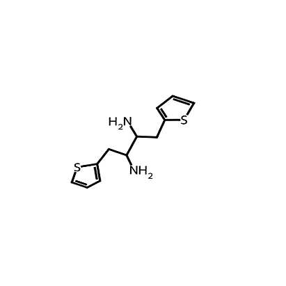 NC(Cc1cccs1)C(N)Cc1cccs1